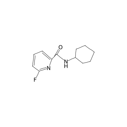 O=C(NC1CCCCC1)c1cccc(F)n1